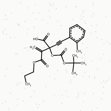 C=C(C(=O)OCCC)C(C#Cc1ccccc1C)(OC(=O)OC(C)(C)C)C(=O)O